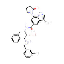 CC(C)c1c[nH]c2c(N3CCCC3=O)cc(C(=O)N[C@@H](Cc3ccccc3)[C@H](O)CNCc3cccc(C(F)(F)F)c3)cc12